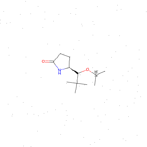 C[SiH](C)OC([C@@H]1CCC(=O)N1)C(C)(C)C